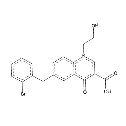 O=C(O)c1cn(CCO)c2ccc(Cc3ccccc3Br)cc2c1=O